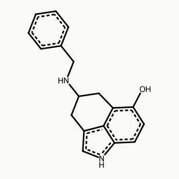 Oc1ccc2[nH]cc3c2c1CC(NCc1ccccc1)C3